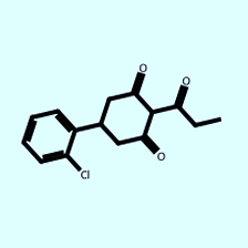 CCC(=O)C1C(=O)CC(c2ccccc2Cl)CC1=O